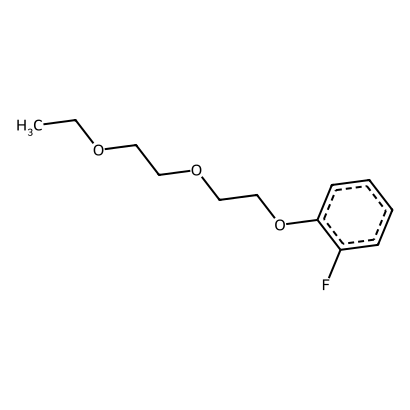 CCOCCOCCOc1ccccc1F